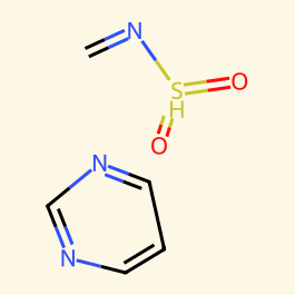 C=N[SH](=O)=O.c1cncnc1